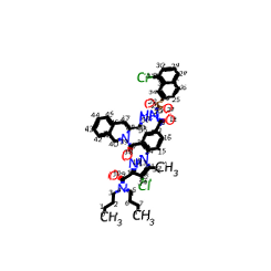 CCCCN(CCCC)C(=O)c1nn(-c2ccc(C(=O)NS(=O)(=O)c3ccc4cccc(Cl)c4c3)cc2C(=O)N2Cc3ccccc3C[C@H]2CN)c(C)c1Cl